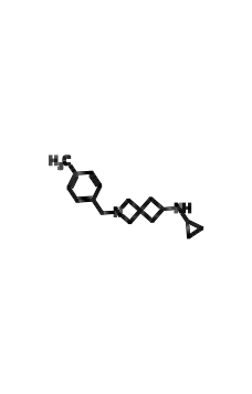 Cc1ccc(CN2CC3(CC(NC4CC4)C3)C2)cc1